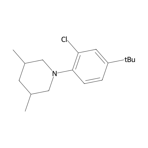 CC1CC(C)CN(c2ccc(C(C)(C)C)cc2Cl)C1